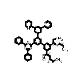 C=C/C(=N\C=C/C)c1cc(/C(=C/C=C\C)N=C)cc(-c2cc(-c3cc(-c4ccccn4)cc(-c4ccccn4)c3)cc(-c3nc(-c4ccccc4)nc(-c4ccccc4)n3)c2)c1